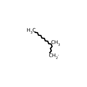 [CH2]CCCCC(C)CCCCCCCCCC